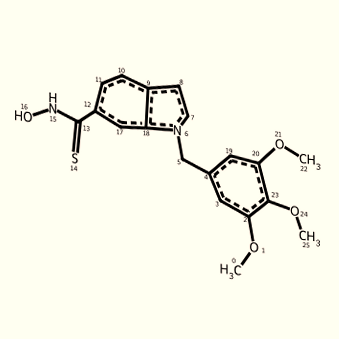 COc1cc(Cn2ccc3ccc(C(=S)NO)cc32)cc(OC)c1OC